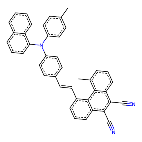 Cc1ccc(N(c2ccc(C=Cc3cccc4c(C#N)c(C#N)c5cccc(C)c5c34)cc2)c2cccc3ccccc23)cc1